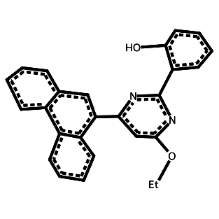 CCOc1cc(-c2cc3ccccc3c3ccccc23)nc(-c2ccccc2O)n1